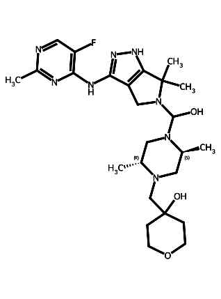 Cc1ncc(F)c(Nc2n[nH]c3c2CN(C(O)N2C[C@@H](C)N(CC4(O)CCOCC4)C[C@@H]2C)C3(C)C)n1